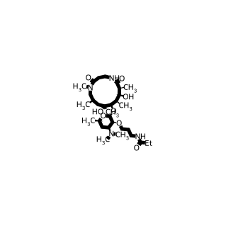 CCC(=O)NCCCO[C@H]1[C@H](O[C@@H]2[C@@H](C)[C@H](O)[C@@H](C)C(=O)NCCC(=O)N(C)C[C@H](C)C[C@@]2(C)O)O[C@H](C)C[C@@H]1N(C)C